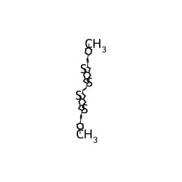 Cc1ccc(C#Cc2cc3cc4sc(/C=C/c5cc6cc7sc(C#Cc8ccc(C)cc8)cc7cc6s5)cc4cc3s2)cc1